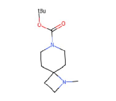 CN1CCC12CCN(C(=O)OC(C)(C)C)CC2